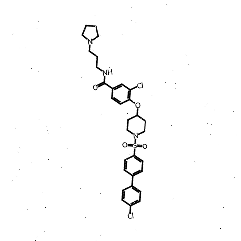 O=C(NCCCN1CCCC1)c1ccc(OC2CCN(S(=O)(=O)c3ccc(-c4ccc(Cl)cc4)cc3)CC2)c(Cl)c1